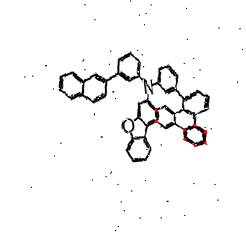 c1ccc(-c2ccccc2-c2c(-c3ccccc3)cccc2-c2cccc(N(c3cccc(-c4ccc5ccccc5c4)c3)c3ccc4c(c3)oc3ccccc34)c2)cc1